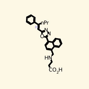 CCC/C(=C\c1nnc(-c2ccc(CNCCC(=O)O)c3ccccc23)o1)c1ccccc1